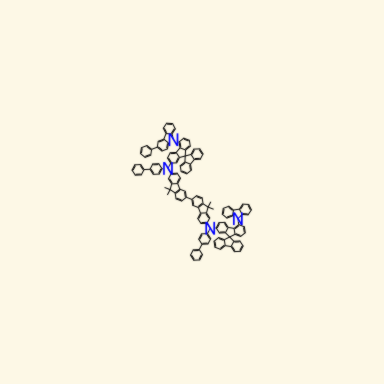 CC1(C)c2ccc(-c3ccc4c(c3)-c3ccc(N(c5ccc(-c6ccccc6)cc5)c5ccc6c(c5)C5(c7ccccc7-c7ccccc75)c5cccc(-n7c8ccccc8c8cc(-c9ccccc9)ccc87)c5-6)cc3C4(C)C)cc2-c2ccc(N(c3ccc(-c4ccccc4)cc3)c3ccc4c(c3)C3(c5ccccc5-c5ccccc53)c3cccc(-n5c6ccccc6c6ccccc65)c3-4)cc21